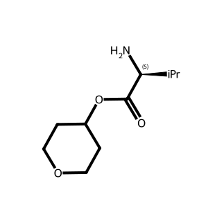 CC(C)[C@H](N)C(=O)OC1CCOCC1